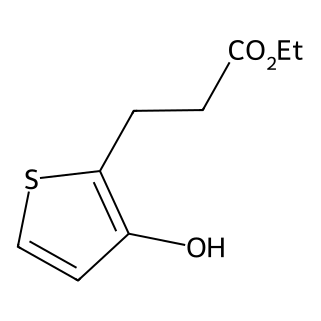 CCOC(=O)CCc1sccc1O